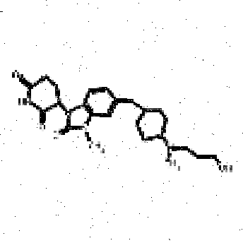 CN(CCCO)C1CCC(Cc2ccc3c(c2)n(C)c(=O)n3C2CCC(=O)NC2=O)CC1